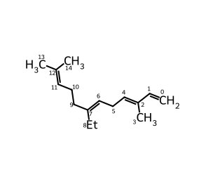 C=C/C(C)=C/C/C=C(\CC)CCC=C(C)C